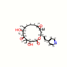 C[C@H]1CCC[C@@]2(C)O[C@H]2C[C@@H](C=Cc2ccncc2)OC(=O)C[C@H](O)C(C)(C)C(=O)[C@H](C)[C@H]1O